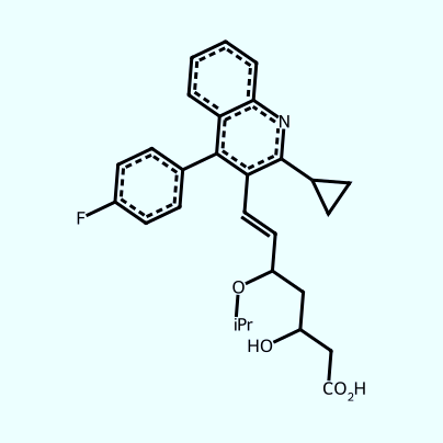 CC(C)OC(/C=C/c1c(C2CC2)nc2ccccc2c1-c1ccc(F)cc1)CC(O)CC(=O)O